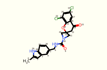 Cc1cc2cc(CNC(=O)N3CC4(CC(=O)c5cc(Cl)cc(Cl)c5O4)C3)ccc2[nH]1